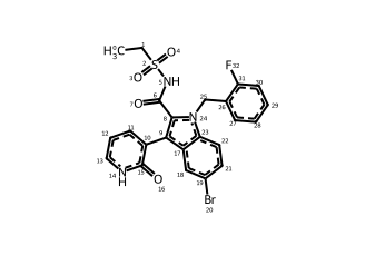 CCS(=O)(=O)NC(=O)c1c(-c2ccc[nH]c2=O)c2cc(Br)ccc2n1Cc1ccccc1F